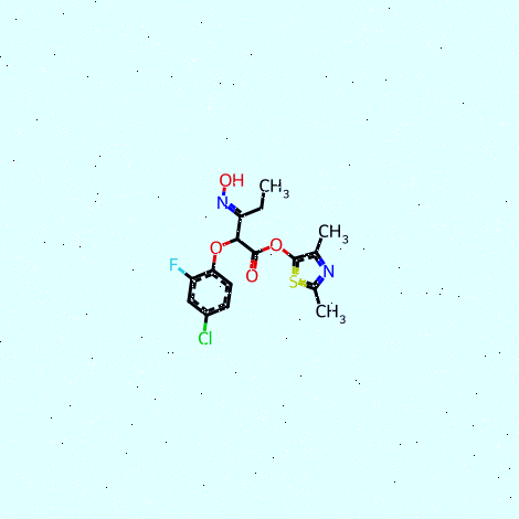 CCC(=NO)C(Oc1ccc(Cl)cc1F)C(=O)Oc1sc(C)nc1C